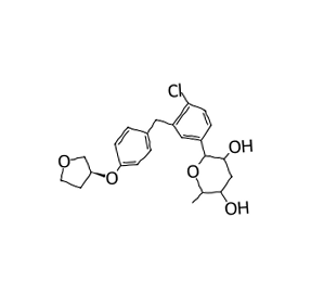 CC1OC(c2ccc(Cl)c(Cc3ccc(O[C@H]4CCOC4)cc3)c2)C(O)CC1O